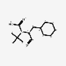 CC(C)(C)N(C(=O)O)[C@H](C=O)CC1CCCCC1